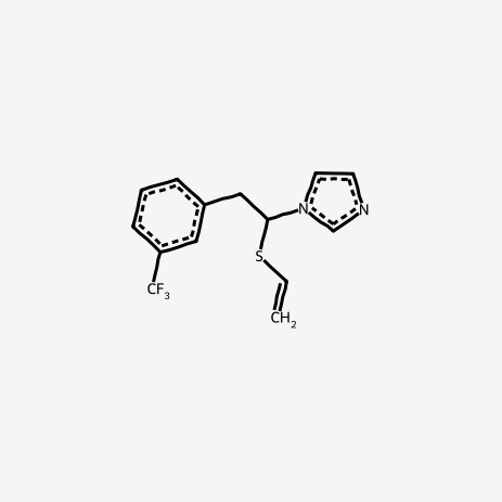 C=CSC(Cc1cccc(C(F)(F)F)c1)n1ccnc1